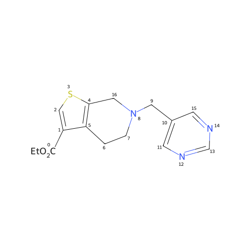 CCOC(=O)c1csc2c1CCN(Cc1cncnc1)C2